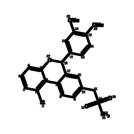 CCc1cccc2c1-c1ccc(CS(N)(=O)=O)cc1C(c1ccc(OC)c(OC)c1)O2